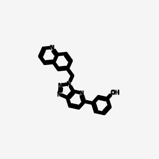 Oc1cccc(-c2ccc3nnn(Cc4ccc5ncccc5c4)c3n2)c1